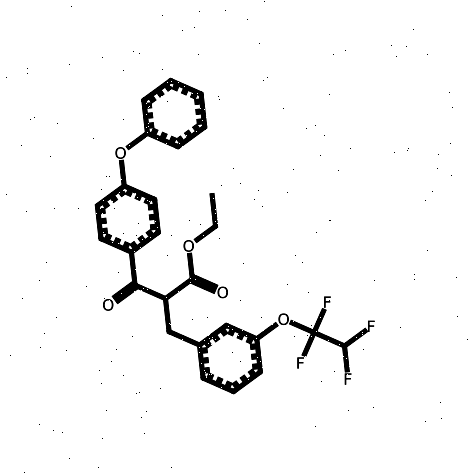 CCOC(=O)C(Cc1cccc(OC(F)(F)C(F)F)c1)C(=O)c1ccc(Oc2ccccc2)cc1